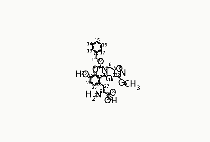 COC1=NOC(CN(C(=O)OCc2ccccc2)C(=O)c2cc(O)ccc2C[C@H](N)C(=O)O)C1